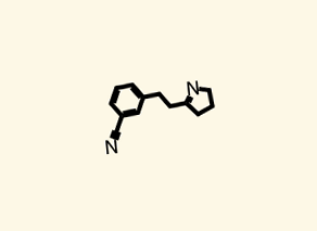 N#Cc1cccc(CCC2=NCCC2)c1